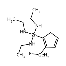 CC[NH][Zr]([NH]CC)([NH]CC)[C]1=[C]([GeH2][F])C=CC1